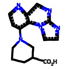 O=C(O)C1CCCN(c2ccnc3cnc4nccn4c23)C1